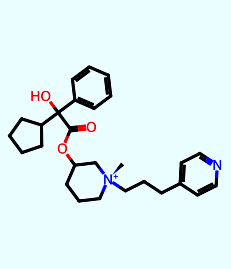 C[N@@+]1(CCCc2ccncc2)CCCC(OC(=O)C(O)(c2ccccc2)C2CCCC2)C1